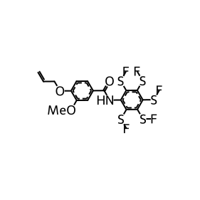 C=CCOc1ccc(C(=O)Nc2c(SF)c(SF)c(SF)c(SF)c2SF)cc1OC